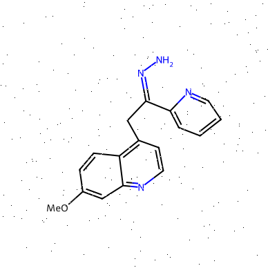 COc1ccc2c(C/C(=N/N)c3ccccn3)ccnc2c1